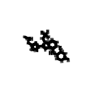 CNCc1nnc(-c2cc3c(N[C@@H]4CCN(C)C[C@@H]4F)cccc3n2CC(F)(F)F)s1